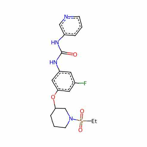 CCS(=O)(=O)N1CCCC(Oc2cc(F)cc(NC(=O)Nc3cccnc3)c2)C1